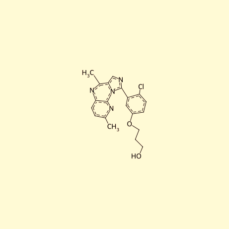 Cc1ccc2nc(C)c3cnc(-c4cc(OCCCO)ccc4Cl)n3c2n1